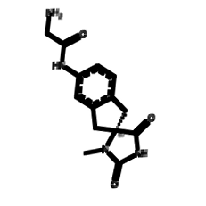 CN1C(=O)NC(=O)[C@@]12Cc1ccc(NC(=O)CN)cc1C2